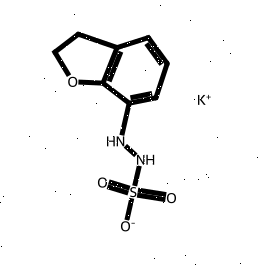 O=S(=O)([O-])NNc1cccc2c1OCC2.[K+]